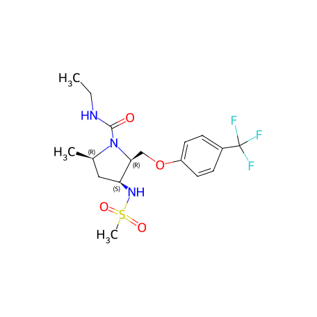 CCNC(=O)N1[C@H](C)C[C@H](NS(C)(=O)=O)[C@@H]1COc1ccc(C(F)(F)F)cc1